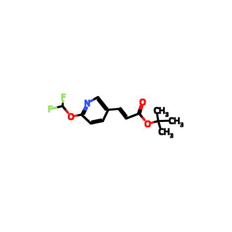 CC(C)(C)OC(=O)C=Cc1ccc(OC(F)F)nc1